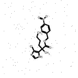 CCCCC(C)(C(=O)OCc1ccc([N+](=O)[O-])cc1)c1[nH]cnc1Cl